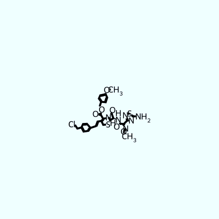 CO/N=C(\C(=O)N[C@@H]1C(=O)N2C(C(=O)OCc3ccc(OC)cc3)=C(/C=C/c3ccc(CCl)cc3)CS[C@H]12)c1nsc(N)n1